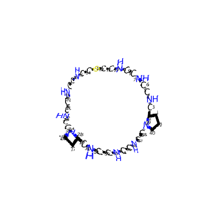 C1CC2CNCCNCCNCCSCCNCCNCCNCCN3CCC3CNCCNCCNCCN2C1